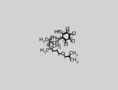 C=C(C)COCCC[Si](C)(C)O[Si](C)(C)C.Oc1c(Cl)c(Cl)c(Cl)c(Cl)c1Cl